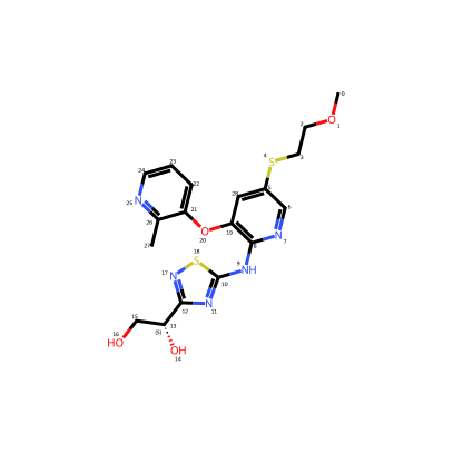 COCCSc1cnc(Nc2nc([C@H](O)CO)ns2)c(Oc2cccnc2C)c1